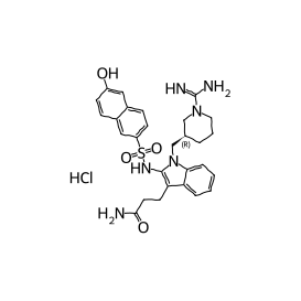 Cl.N=C(N)N1CCC[C@@H](Cn2c(NS(=O)(=O)c3ccc4cc(O)ccc4c3)c(CCC(N)=O)c3ccccc32)C1